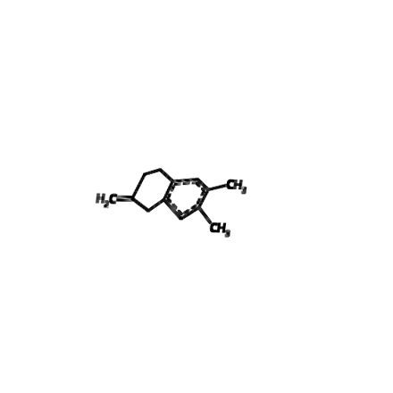 C=C1CCc2cc(C)c(C)cc2C1